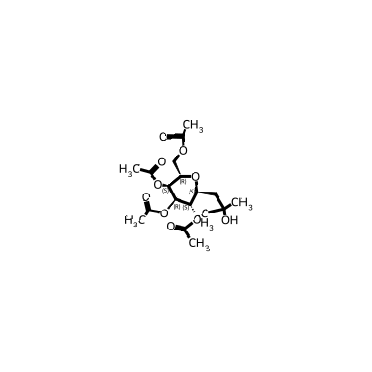 CC(=O)OC[C@H]1O[C@@H](CC(C)(C)O)[C@H](OC(C)=O)[C@@H](OC(C)=O)[C@H]1OC(C)=O